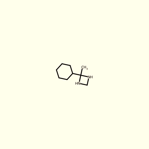 CC1(C2CCCCC2)NCN1